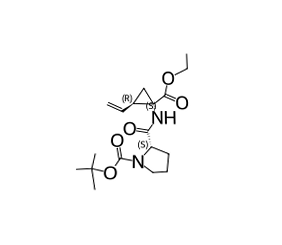 C=C[C@H]1C[C@@]1(NC(=O)[C@@H]1CCCN1C(=O)OC(C)(C)C)C(=O)OCC